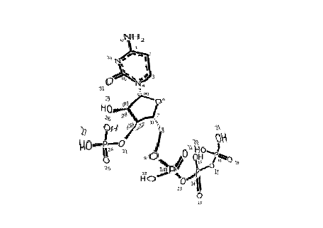 Nc1ccn([C@@H]2O[C@H](COP(=O)(O)OP(=O)(O)OP(=O)(O)O)[C@@H](OP(=O)(O)O)[C@H]2O)c(=O)n1